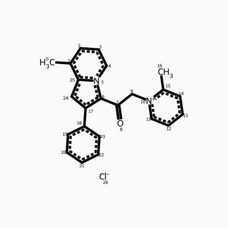 Cc1cccn2c(C(=O)C[n+]3ccccc3C)c(-c3ccccc3)cc12.[Cl-]